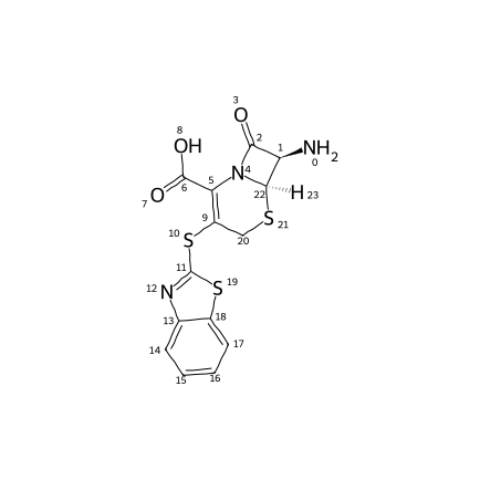 N[C@@H]1C(=O)N2C(C(=O)O)=C(Sc3nc4ccccc4s3)CS[C@H]12